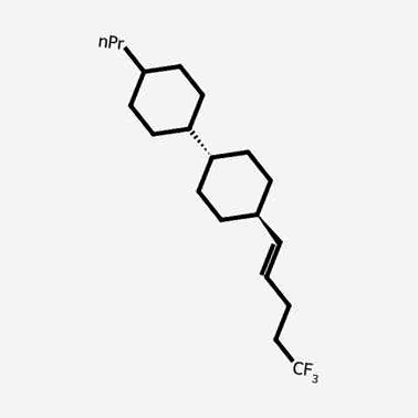 CCCC1CCC([C@H]2CC[C@H](/C=C/CCC(F)(F)F)CC2)CC1